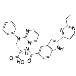 CCc1nccc(-c2cc3cc(C(=O)N[C@@H](CN(c4ccccc4)c4ncccn4)C(=O)O)ccc3[nH]2)n1